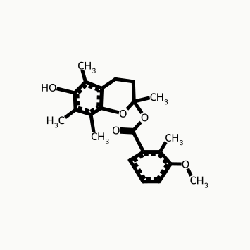 COc1cccc(C(=O)OC2(C)CCc3c(C)c(O)c(C)c(C)c3O2)c1C